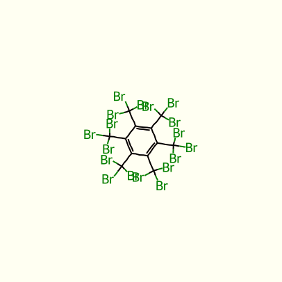 BrC(Br)(Br)c1c(C(Br)(Br)Br)c(C(Br)(Br)Br)c(C(Br)(Br)Br)c(C(Br)(Br)Br)c1C(Br)(Br)Br